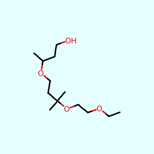 CCOCCOC(C)(C)CCOC(C)CCO